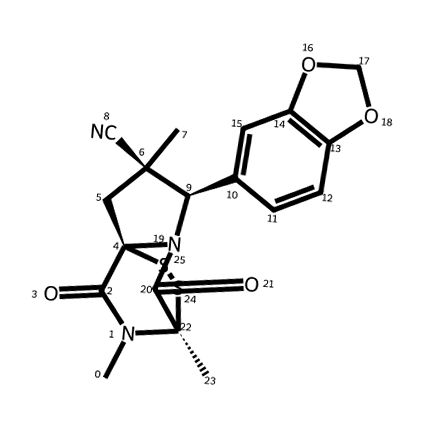 CN1C(=O)[C@]23C[C@@](C)(C#N)[C@@H](c4ccc5c(c4)OCO5)N2C(=O)[C@@]1(C)SS3